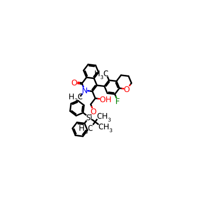 Cc1c(-c2c(C(O)CO[Si](c3ccccc3)(c3ccccc3)C(C)(C)C)n(C)c(=O)c3ccccc23)cc(F)c2c1CCCO2